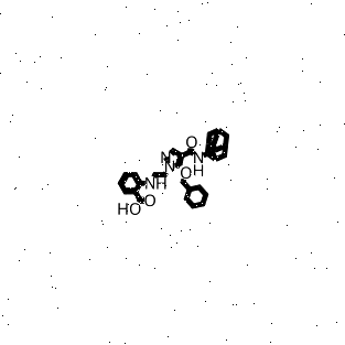 O=C(O)c1ccccc1NCCn1ncc(C(=O)NC2C3CC4CC(C3)CC2C4)c1OCC1CCCCC1